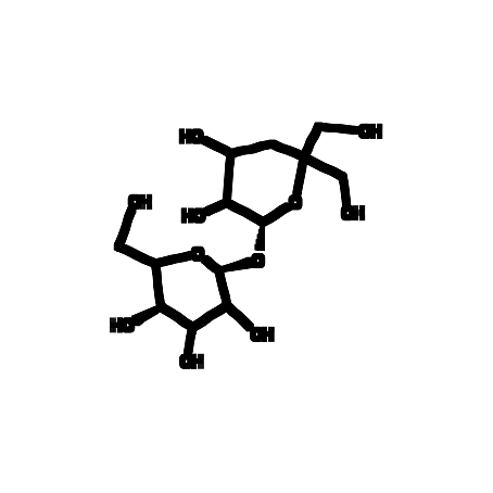 OCC1O[C@@H](O[C@H]2OC(CO)(CO)CC(O)C2O)C(O)C(O)[C@H]1O